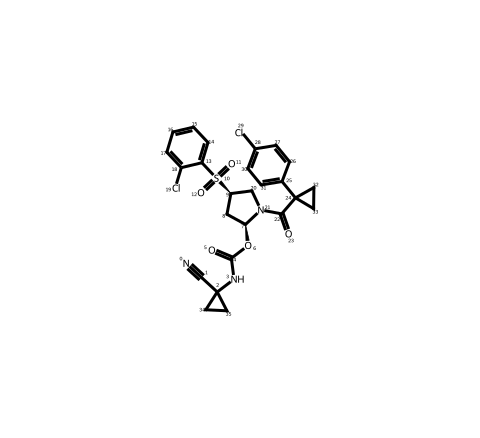 N#CC1(NC(=O)O[C@H]2C[C@@H](S(=O)(=O)c3ccccc3Cl)CN2C(=O)C2(c3ccc(Cl)cc3)CC2)CC1